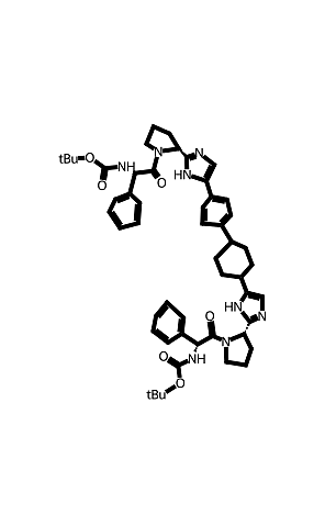 CC(C)(C)OC(=O)N[C@@H](C(=O)N1CCC[C@H]1c1ncc(-c2ccc(C3CCC(c4cnc([C@@H]5CCCN5C(=O)[C@H](NC(=O)OC(C)(C)C)c5ccccc5)[nH]4)CC3)cc2)[nH]1)c1ccccc1